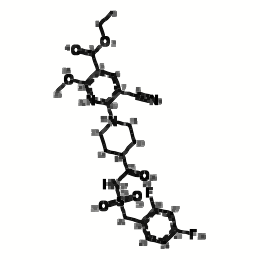 CCOC(=O)c1cc(C#N)c(N2CCC(C(=O)NS(=O)(=O)Cc3ccc(F)cc3F)CC2)nc1OC